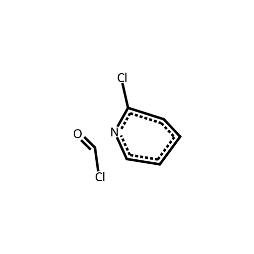 Clc1ccccn1.O=CCl